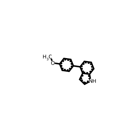 COc1ccc(-c2cccc3[nH]ccc23)cc1